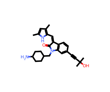 Cc1cc(C)c(/C=C2\C(=O)N(CC3CCC(N)CC3)c3cc(C#CC(C)(C)O)ccc32)[nH]1